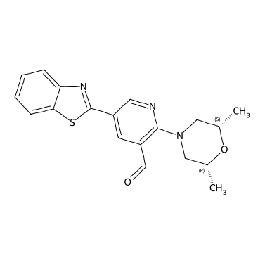 C[C@@H]1CN(c2ncc(-c3nc4ccccc4s3)cc2C=O)C[C@H](C)O1